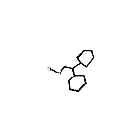 CCOC[C](C1CCCCC1)C1CCCCC1